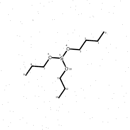 CCCCO[Si](OCCC)OCCC